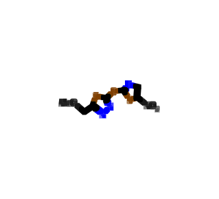 COCc1nnc(Sc2ncc([N+](=O)[O-])s2)s1